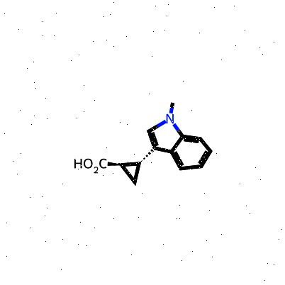 Cn1cc([C@@H]2C[C@H]2C(=O)O)c2ccccc21